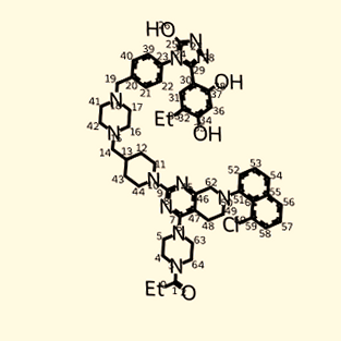 CCC(=O)N1CCN(c2nc(N3CCC(CN4CCN(Cc5ccc(-n6c(O)nnc6-c6cc(CC)c(O)cc6O)cc5)CC4)CC3)nc3c2CCN(c2cccc4cccc(Cl)c24)C3)CC1